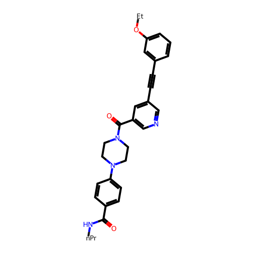 CCCNC(=O)c1ccc(N2CCN(C(=O)c3cncc(C#Cc4cccc(OCC)c4)c3)CC2)cc1